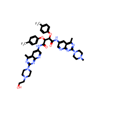 Cc1nc(N2CCN(C)CC2)nc2ncc(NC(=O)C(Oc3ccc(C(F)(F)F)cc3)C(Oc3ccc(C(F)(F)F)cc3)C(=O)Nc3cnc4nc(N5CCN(CCO)CC5)nc(C)c4c3)cc12